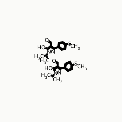 CSc1ccc(-c2nn(C(C)C)c(O)c2C=O)cc1.CSc1ccc(-c2nn(C(C)C)c(O)c2C=O)cc1